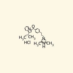 CCC(C)c1cc(C(=O)c2ccc(CCCN3C[C@@H](C)N[C@@H](C)C3)cc2)n2ccccc12.Cl